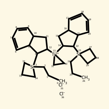 CCC[Si]1(C2C3C=CC=CC3C[CH]2[Ti+2]2([CH]3CC4C=CC=CC4C3[Si]3(CCC)CCC3)[CH2][CH2]2)CCC1.[Cl-].[Cl-]